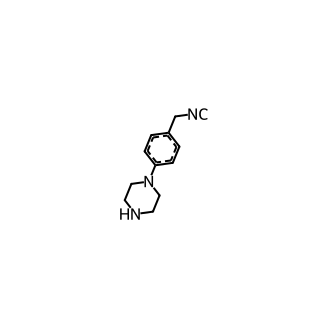 [C-]#[N+]Cc1ccc(N2CCNCC2)cc1